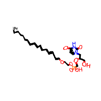 CC(C)CCCCCCCCCCCCCCCCOCCOP(=O)(O)COC(CO)Cn1ccc(=O)[nH]c1=O